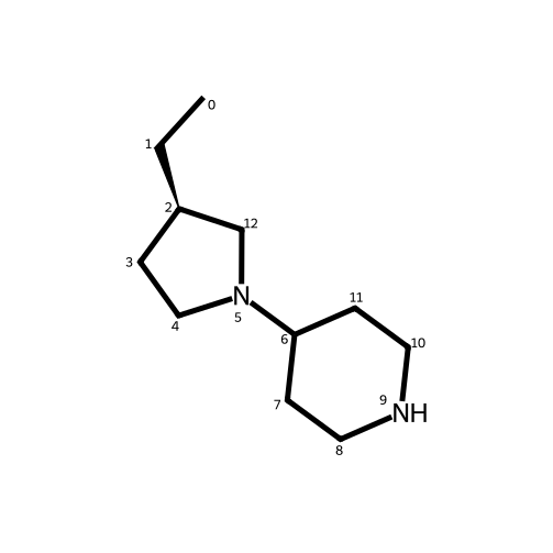 CC[C@@H]1CCN(C2CCNCC2)C1